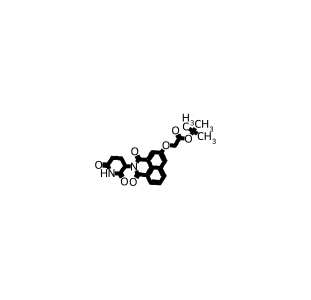 CC(C)(C)OC(=O)COc1cc2c3c(cccc3c1)C(=O)N(C1CCC(=O)NC1=O)C2=O